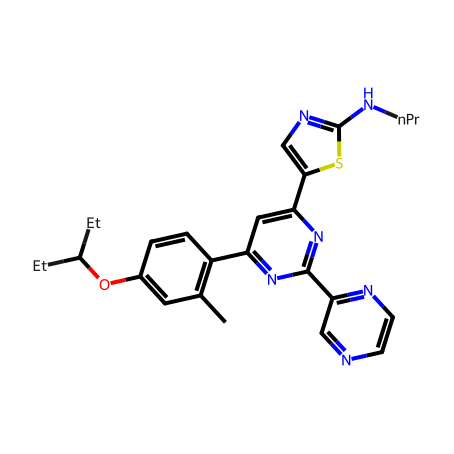 CCCNc1ncc(-c2cc(-c3ccc(OC(CC)CC)cc3C)nc(-c3cnccn3)n2)s1